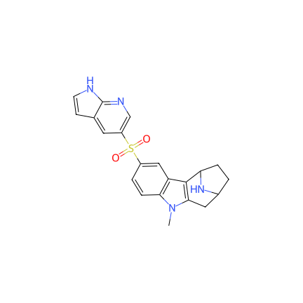 Cn1c2c(c3cc(S(=O)(=O)c4cnc5[nH]ccc5c4)ccc31)C1CCC(C2)N1